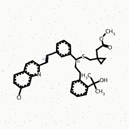 COC(=O)CC1(CS[C@@H](CCc2ccccc2C(C)(C)O)c2cccc(/C=C/c3ccc4ccc(Cl)cc4n3)c2)CC1